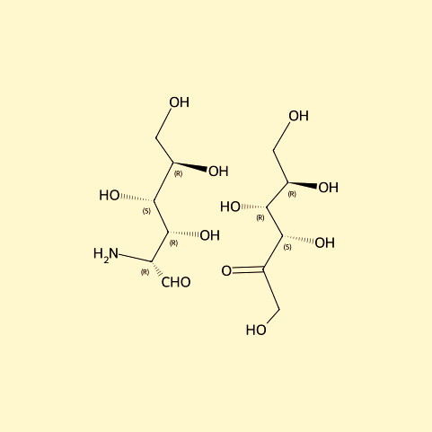 N[C@@H](C=O)[C@@H](O)[C@H](O)[C@H](O)CO.O=C(CO)[C@@H](O)[C@H](O)[C@H](O)CO